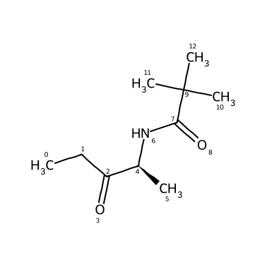 CCC(=O)[C@H](C)NC(=O)C(C)(C)C